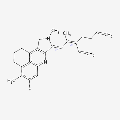 C=CCC/C(C=C)=C(C)/C=C1/c2nc3cc(F)c(C)c4c3c(c2CN1C)CCC4